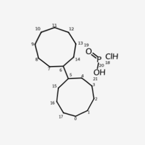 C1CCCCC(C2CCCCCCCC2)CCC1.Cl.O=PO